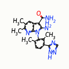 Cc1cc2c(C(N)=O)c(N)n(-c3c(C)ccc(-c4ncn[nH]4)c3C)c2nc1C